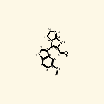 CSc1ccc2scc(C3=C(C=O)SC4=NCCN43)c2c1